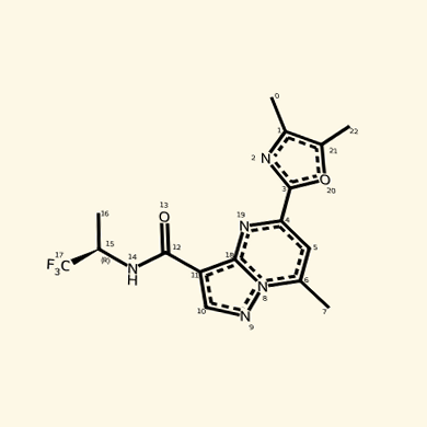 Cc1nc(-c2cc(C)n3ncc(C(=O)N[C@H](C)C(F)(F)F)c3n2)oc1C